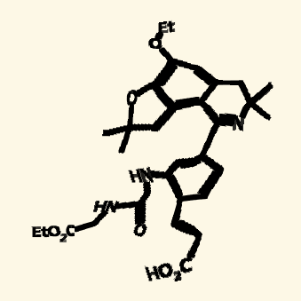 CCOC(=O)CNC(=O)Nc1cc(C2=NC(C)(C)Cc3cc(OCC)c4c(c32)CC(C)(C)O4)ccc1C=CC(=O)O